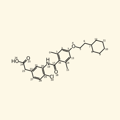 Cc1cc(OCCC2CCCCC2)cc(C)c1C(=O)Nc1cc(CC(=O)O)ccc1Cl